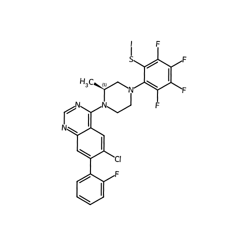 C[C@H]1CN(c2c(F)c(F)c(F)c(F)c2SI)CCN1c1ncnc2cc(-c3ccccc3F)c(Cl)cc12